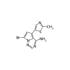 Cc1ncc(-c2cc(Br)n3ncnc(N)c23)s1